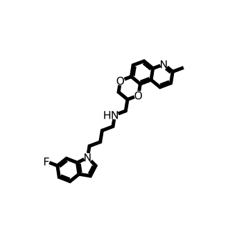 Cc1ccc2c3c(ccc2n1)OCC(CNCCCCn1ccc2ccc(F)cc21)O3